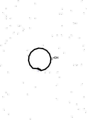 O[C@@H]1CCC/C=C/CCCCCCCCCC1